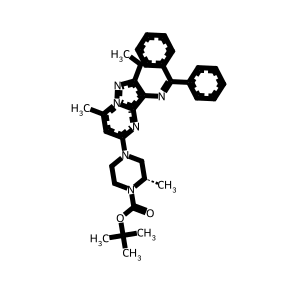 CCc1nn2c(C)cc(N3CCN(C(=O)OC(C)(C)C)[C@@H](C)C3)nc2c1N=C(c1ccccc1)c1ccccc1